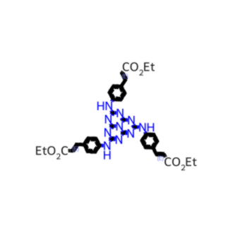 CCOC(=O)/C=C/c1ccc(NC2=NC3=NC(Nc4ccc(/C=C/C(=O)OCC)cc4)=NC4=NC(Nc5ccc(/C=C/C(=O)OCC)cc5)=NC(=N2)N34)cc1